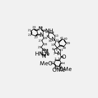 COc1cc(C(=O)N2CCC(CCN3CCC(Nc4nc5ccccc5n4CCCCc4nnn[nH]4)CC3)(c3ccccc3)C2)cc(OC)c1OC